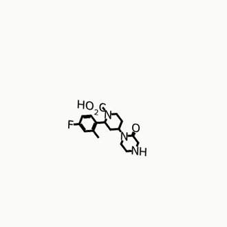 Cc1cc(F)ccc1C1CC(N2CCNCC2=O)CCN1C(=O)O